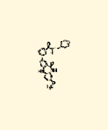 O=C(NCCN1CCOCC1)c1cccc(-c2ccc3c(c2)C(=O)Nc2cc(OC(F)(F)F)ccc2N3)c1